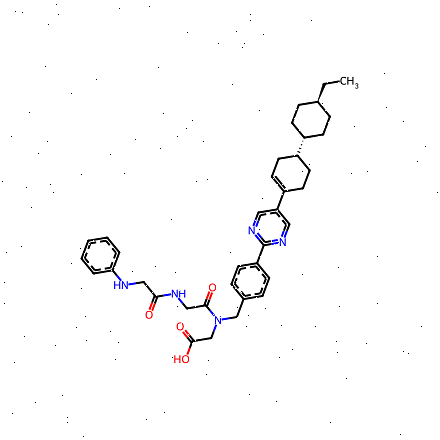 CC[C@H]1CC[C@H](C2CC=C(c3cnc(-c4ccc(CN(CC(=O)O)C(=O)CNC(=O)CNc5ccccc5)cc4)nc3)CC2)CC1